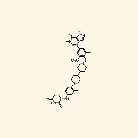 COc1cc(-c2cn(C)c(=O)c3[nH]ncc23)cc(F)c1CN1CCC(C2CCN(c3ccc(NC4CCC(=O)NC4=O)cc3C)CC2)CC1